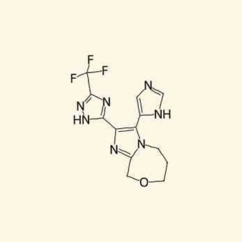 FC(F)(F)c1n[nH]c(-c2nc3n(c2-c2cnc[nH]2)CCCOC3)n1